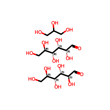 O=C[C@@H](O)[C@@H](O)[C@H](O)[C@H](O)CO.O=C[C@H](O)[C@@H](O)[C@H](O)[C@H](O)CO.OCC(O)CO